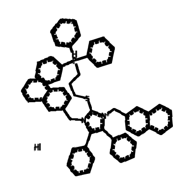 I.c1ccc(-c2c(-c3ccccc3)[n+](Cc3ccc4ccccc4c3)c(SCCC[PH](c3ccccc3)(c3ccccc3)c3ccccc3)n2Cc2ccc3ccccc3c2)cc1